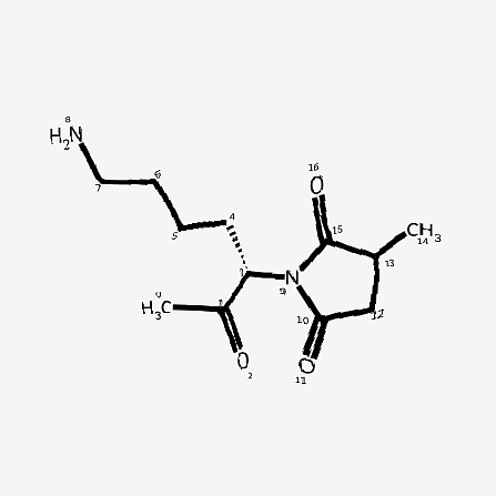 CC(=O)[C@H](CCCCN)N1C(=O)CC(C)C1=O